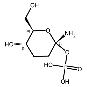 N[C@@]1(OP(=O)(O)O)CC[C@H](O)[C@@H](CO)O1